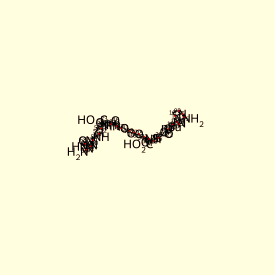 CCCCc1nc2c(N)nc3ccccc3c2n1CC(C)(C)COC(=O)OCCSSCC(NC(=O)CCOCCOCCOCCNC(=O)CC[C@H](NC(=O)c1ccc(NCc2cnc3nc(N)[nH]c(=O)c3n2)cc1)C(=O)O)C(=O)O